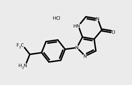 Cl.NC(c1ccc(-n2ncc3c(=O)nc[nH]c32)cc1)C(F)(F)F